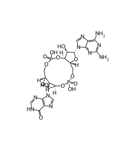 Nc1nc(N)c2ncn([C@@H]3O[C@@H]4COP(=O)(O)O[C@@H]5[C@H](O)[C@@H](COP(=O)(O)O[C@H]4[C@H]3O)O[C@H]5n3cnc4c(=O)[nH]cnc43)c2n1